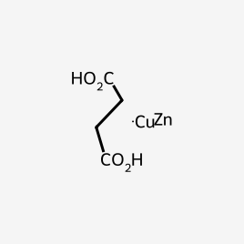 O=C(O)CCC(=O)O.[Cu].[Zn]